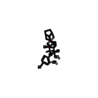 CC(C)(Oc1ccc(Cl)cc1C(F)(F)F)C(=O)NC1CC2CCC(C1)N2c1ccc(S(N)(=O)=O)cn1